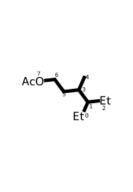 CCC(CC)C(C)CCOC(C)=O